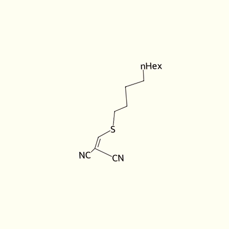 CCCCCCCCCCSC=C(C#N)C#N